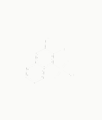 Cc1cc2ccccc2c(S(N)(=O)=O)c1C